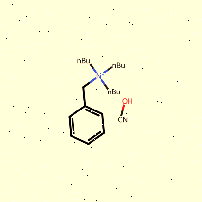 CCCC[N+](CCCC)(CCCC)Cc1ccccc1.N#CO